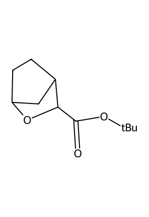 CC(C)(C)OC(=O)C1OC2CCC1C2